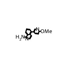 COc1ccc(-c2cccc3c(N)nccc23)cn1